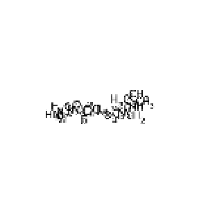 C=C(ONC(C)C(C)C)N1CCC(OCCOc2ccc(CC(=O)N(C)Cc3cc[nH]n3)c(F)c2)CC1